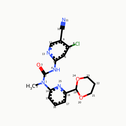 CN(C(=O)Nc1cc(Cl)c(C#N)cn1)c1cccc(C2OCCCO2)n1